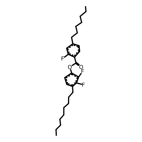 CCCCCCCCCc1ccc(OC(=O)c2ccc(CCCCCCC)cc2F)c(F)c1F